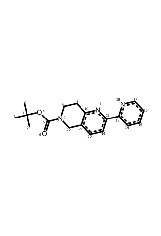 CC(C)(C)OC(=O)N1CCc2nc(-c3ccccn3)ccc2C1